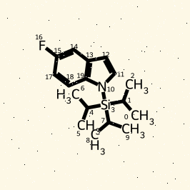 CC(C)[Si](C(C)C)(C(C)C)n1ccc2cc(F)ccc21